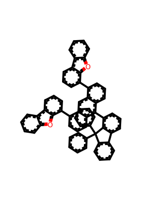 c1ccc(C2(c3ccccc3)c3ccccc3-c3cccc(-c4c5cccc(-c6cccc7c6oc6ccccc67)c5cc5c(-c6cccc7c6oc6ccccc67)cccc45)c32)cc1